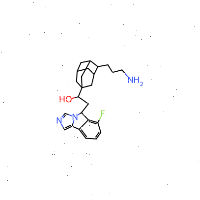 NCCCC1C2CC3CC1CC(C(O)CC1c4c(F)cccc4-c4cncn41)(C3)C2